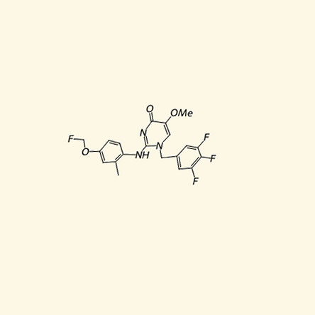 COc1cn(Cc2cc(F)c(F)c(F)c2)c(Nc2ccc(OCF)cc2C)nc1=O